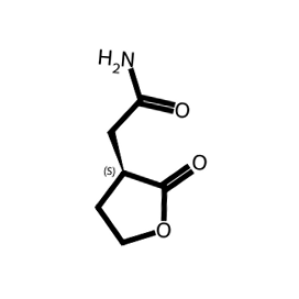 NC(=O)C[C@@H]1CCOC1=O